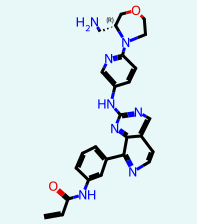 C=CC(=O)Nc1cccc(-c2nccc3cnc(Nc4ccc(N5CCOC[C@H]5CN)nc4)nc23)c1